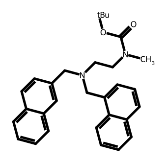 CN(CCN(Cc1ccc2ccccc2c1)Cc1cccc2ccccc12)C(=O)OC(C)(C)C